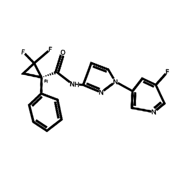 O=C(Nc1ccn(-c2cncc(F)c2)n1)[C@]1(c2ccccc2)CC1(F)F